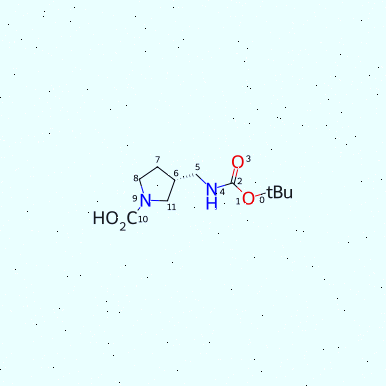 CC(C)(C)OC(=O)NC[C@H]1CCN(C(=O)O)C1